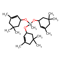 CC1=CC(O[Si](C)(OC2C=C(C)CC(C)(C)C2)OC2C=C(C)CC(C)(C)C2)CC(C)(C)C1